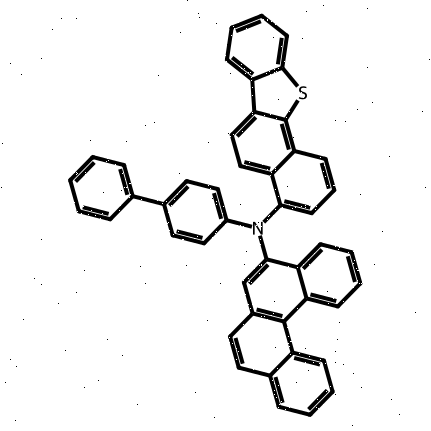 c1ccc(-c2ccc(N(c3cccc4c3ccc3c5ccccc5sc43)c3cc4ccc5ccccc5c4c4ccccc34)cc2)cc1